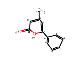 Cc1cc(-c2ccccc2)oc(=O)c1